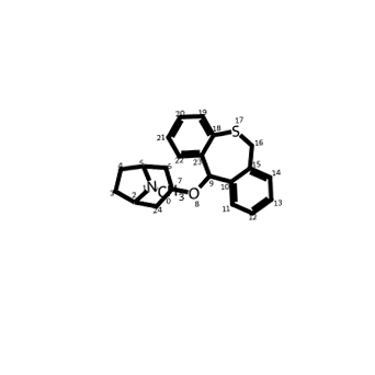 CN1C2CCC1CC(OC1c3ccccc3CSc3ccccc31)C2